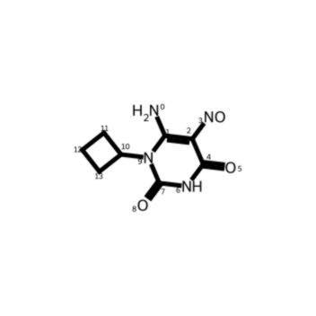 Nc1c(N=O)c(=O)[nH]c(=O)n1C1CCC1